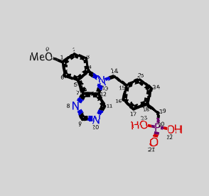 COc1ccc2c(c1)c1ncncc1n2Cc1ccc(CP(=O)(O)O)cc1